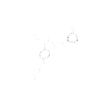 CNCCOc1ccc(CC(C)NCC(OC)c2cccc(Br)c2)cc1.Cl.Cl